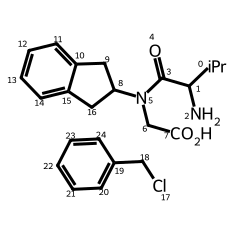 CC(C)C(N)C(=O)N(CC(=O)O)C1Cc2ccccc2C1.ClCc1ccccc1